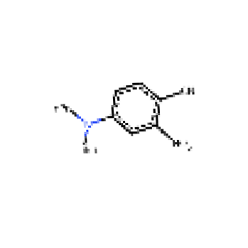 CCCN(c1ccc(C#N)c([N+](=O)[O-])c1)C(C)CC